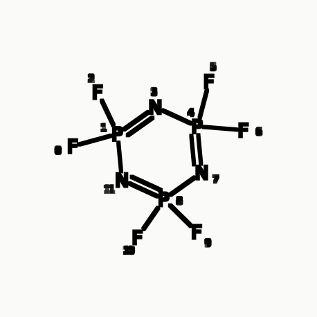 FP1(F)=NP(F)(F)=NP(F)(F)=N1